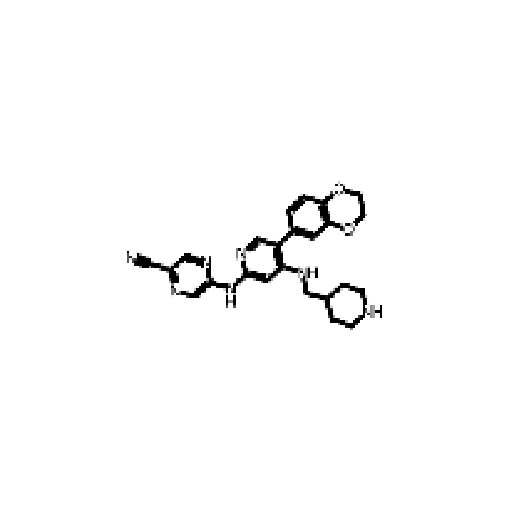 N#Cc1cnc(Nc2cc(NCC3CCNCC3)c(-c3ccc4c(c3)OCCO4)cn2)cn1